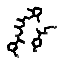 Cc1cccc(C)c1OCC(=O)OC(=O)CNC(=O)c1cccc(C(F)(F)F)c1.O=C(O)CNC(=O)c1ccc(O)cc1